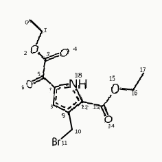 CCOC(=O)C(=O)c1cc(CBr)c(C(=O)OCC)[nH]1